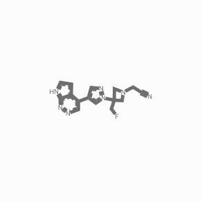 N#CCN1CC(CF)(n2cc(-c3cnnc4[nH]ccc34)cn2)C1